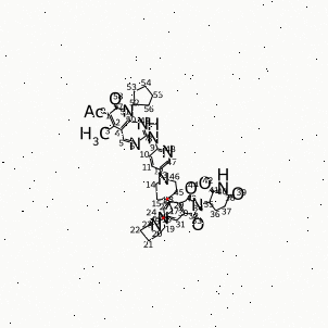 CC(=O)c1c(C)c2cnc(Nc3ccc(N4CCC(CN5CC6CCC(C5)N6c5ccc6c(c5)C(=O)N(C5CCC(=O)NC5=O)C6=O)CC4)cn3)nc2n(C2CCCC2)c1=O